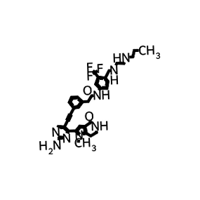 CCCNCCNCc1ccc(NC(=O)Cc2cccc(C#Cc3cnc(N)nc3-c3cc4c(n3C)CCNC4=O)c2)cc1C(F)(F)F